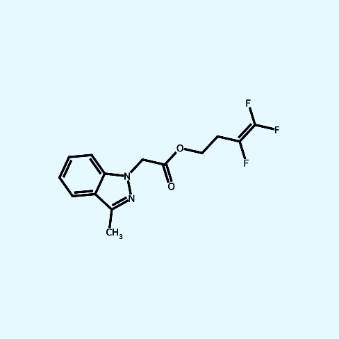 Cc1nn(CC(=O)OCCC(F)=C(F)F)c2ccccc12